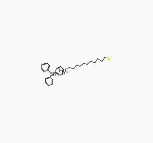 CCCCCCCCCCCC[S-].c1cc[c]([Sn+]([c]2ccccc2)[c]2ccccc2)cc1